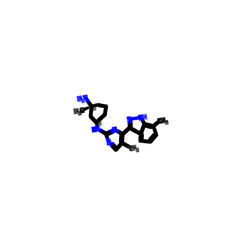 Cc1cccc2c(-c3nc(N[C@@H]4CCC[C@](C)(N)C4)ncc3C(F)(F)F)n[nH]c12